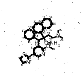 COc1ncc(-c2nccs2)cc1C(c1ccccc1)C(CCN(C)C)(ON)c1cccc2ccccc12